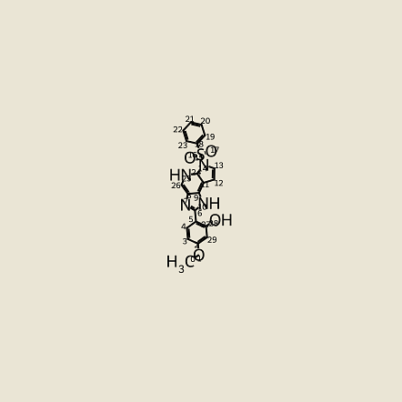 COc1ccc(-c2nc3c([nH]2)=C2C=CN(S(=O)(=O)c4ccccc4)C2NC=3)c(O)c1